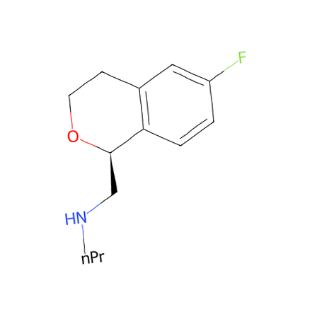 CCCNC[C@H]1OCCc2cc(F)ccc21